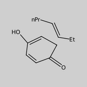 CCC=CCCC.O=C1C=CC(O)=CC1